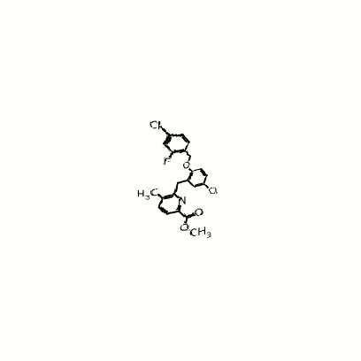 COC(=O)c1ccc(C)c(Cc2cc(Cl)ccc2OCc2ccc(Cl)cc2F)n1